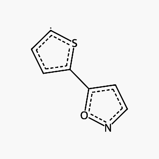 [c]1ccc(-c2ccno2)s1